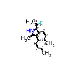 C=C/C=C\C=c1\c(/C=C\C=C)c(C(=C)F)[nH]c1=C